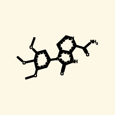 COc1cc(-n2c(=O)[nH]c3c(C(N)=O)nccc32)cc(OC)c1OC